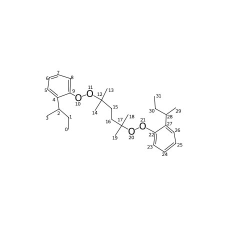 CCC(C)c1ccccc1OOC(C)(C)CCC(C)(C)OOc1ccccc1C(C)CC